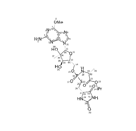 COc1nc(N)nc2c1ncn2[C@@H]1O[C@H](COP(=O)(N[C@H](C)C(=O)OC(C)C)SC[C@H]2NC(=O)NC2=O)[C@@H](O)[C@@]1(C)O